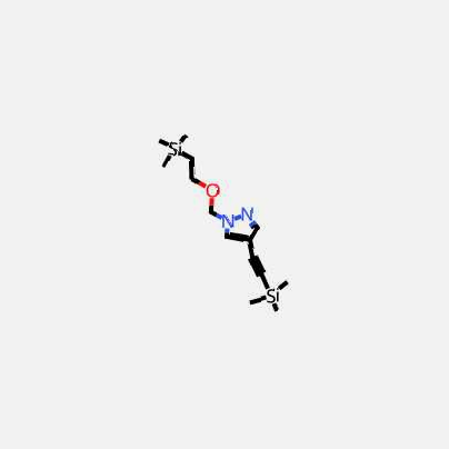 C[Si](C)(C)C#Cc1cnn(COCC[Si](C)(C)C)c1